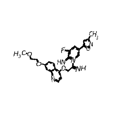 COCCOc1ccc2c(OCC(=N)n3cc(-c4cc(C)no4)cc(F)c3=N)ccnc2c1